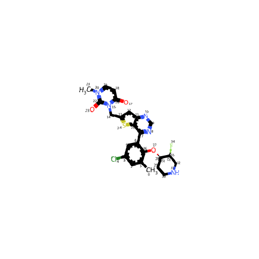 Cc1cc(Cl)cc(-c2ncnc3cc(Cn4c(=O)ccn(C)c4=O)sc23)c1O[C@H]1CCNC[C@@H]1F